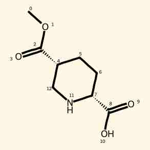 COC(=O)[C@@H]1CC[C@H](C(=O)O)NC1